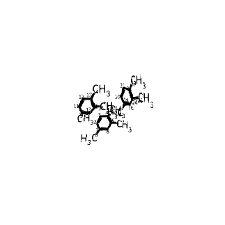 Cc1ccc(C)c(C)c1.Cc1ccc(C)c(C)c1.Cc1ccc(C)c(C)c1